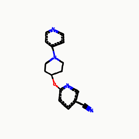 N#Cc1ccc(OC2CCN(c3ccncc3)CC2)nc1